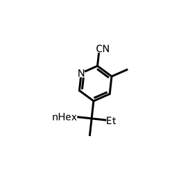 CCCCCCC(C)(CC)c1cnc(C#N)c(C)c1